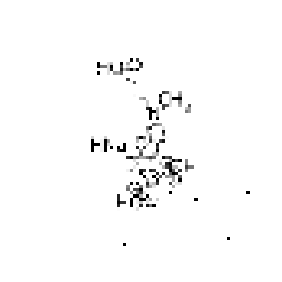 CCN(CCCCCC(=O)O)c1ccc2cc(-c3sc(S(=O)(=O)O)cc3S(=O)(=O)O)c(=O)oc2c1.[NaH]